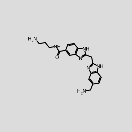 NCCCNC(=O)c1ccc2[nH]c(Cc3nc4cc(CN)ccc4[nH]3)nc2c1